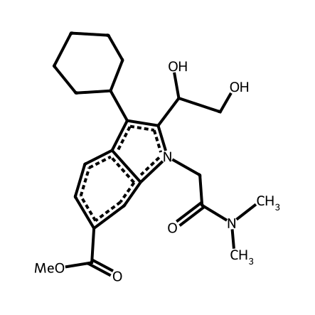 COC(=O)c1ccc2c(C3CCCCC3)c(C(O)CO)n(CC(=O)N(C)C)c2c1